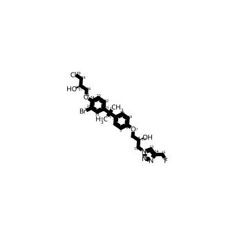 CC(C)(c1ccc(OC[C@H](O)Cn2cc(CF)nn2)cc1)c1ccc(OC[C@H](O)CCl)c(Br)c1